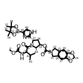 COC(=O)NC(C(=O)N1CC(OC(=O)N2Cc3cc4c(cc3C2)OCO4)C[C@H]1c1nc(B2OC(C)(C)C(C)(C)O2)c[nH]1)C(C)C